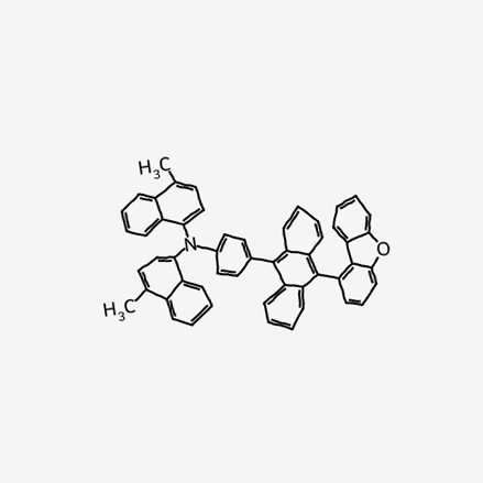 Cc1ccc(N(c2ccc(-c3c4ccccc4c(-c4cccc5oc6ccccc6c45)c4ccccc34)cc2)c2ccc(C)c3ccccc23)c2ccccc12